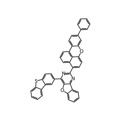 c1ccc(-c2ccc3c(c2)Oc2ccc(-c4nc(-c5ccc6sc7ccccc7c6c5)c5oc6ccccc6c5n4)c4cccc-3c24)cc1